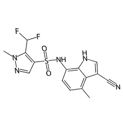 Cc1ccc(NS(=O)(=O)c2cnn(C)c2C(F)F)c2[nH]cc(C#N)c12